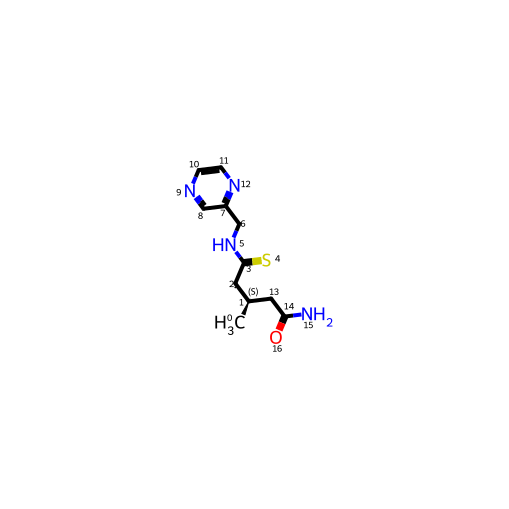 C[C@@H]([CH]C(=S)NCc1cnccn1)CC(N)=O